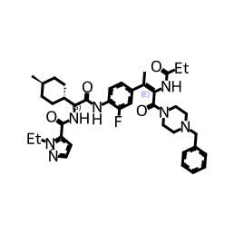 CCC(=O)N/C(C(=O)N1CCN(Cc2ccccc2)CC1)=C(\C)c1ccc(NC(=O)[C@@H](NC(=O)c2ccnn2CC)[C@H]2CC[C@H](C)CC2)c(F)c1